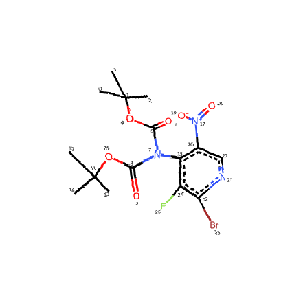 CC(C)(C)OC(=O)N(C(=O)OC(C)(C)C)c1c([N+](=O)[O-])cnc(Br)c1F